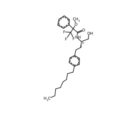 CCCCCCCCc1ccc(CC[C@H](CO)NC(=O)C(OC)(c2ccccc2)C(F)(F)F)cc1